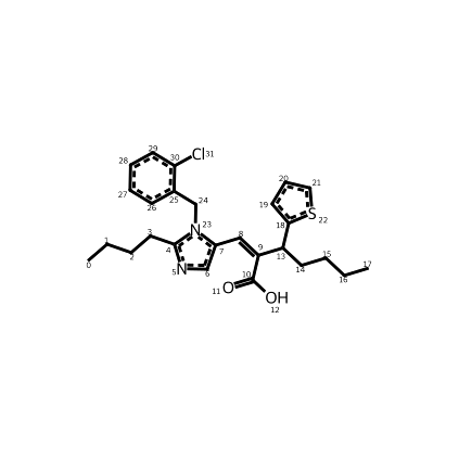 CCCCc1ncc(C=C(C(=O)O)C(CCCC)c2cccs2)n1Cc1ccccc1Cl